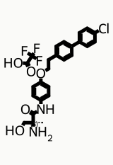 C[C@](N)(CO)C(=O)Nc1ccc(OCCc2ccc(-c3ccc(Cl)cc3)cc2)cc1.O=C(O)C(F)(F)F